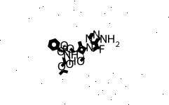 C=C1[C@@H](n2cc(F)c3c(N)ncnc32)[C@H](CO)[C@H]1COP(=O)(NCC(=O)OC(C)C)Oc1ccccc1